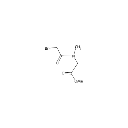 COC(=O)CN(C)C(=O)CBr